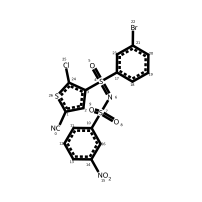 N#Cc1cc(S(=O)(=NS(=O)(=O)c2cccc([N+](=O)[O-])c2)c2cccc(Br)c2)c(Cl)s1